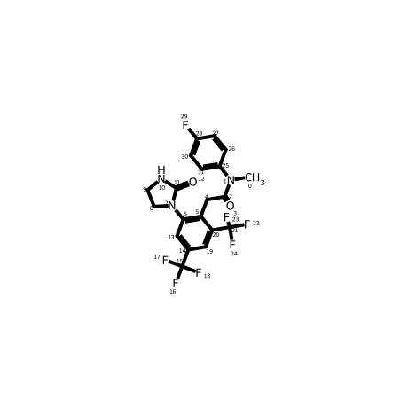 CN(C(=O)Cc1c(N2CCNC2=O)cc(C(F)(F)F)cc1C(F)(F)F)c1ccc(F)cc1